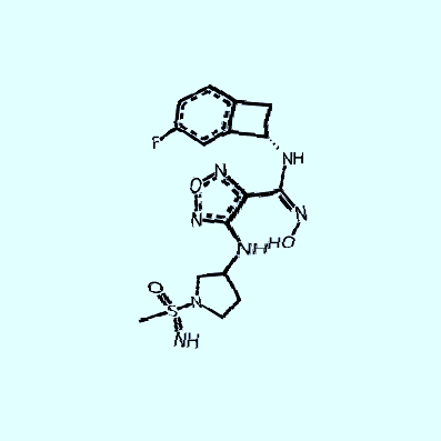 CS(=N)(=O)N1CCC(Nc2nonc2/C(=N\O)N[C@H]2Cc3ccc(F)cc32)C1